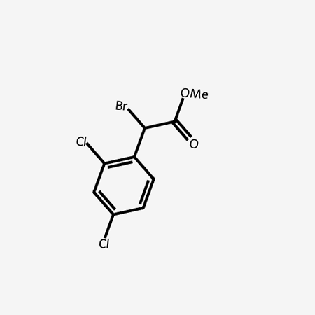 COC(=O)C(Br)c1ccc(Cl)cc1Cl